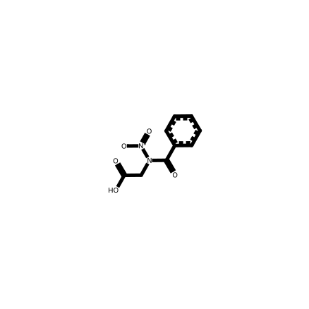 O=C(O)CN(C(=O)c1ccccc1)[N+](=O)[O-]